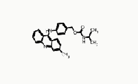 Cc1ccc2c(Nc3ccc(COC(=O)NC(C)C)cc3)c3ccccc3nc2c1